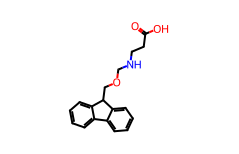 O=C(O)CCNCOCC1c2ccccc2-c2ccccc21